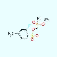 CCP(=O)(COS(=O)(=O)c1ccc(C(F)(F)F)cc1F)OC(C)C